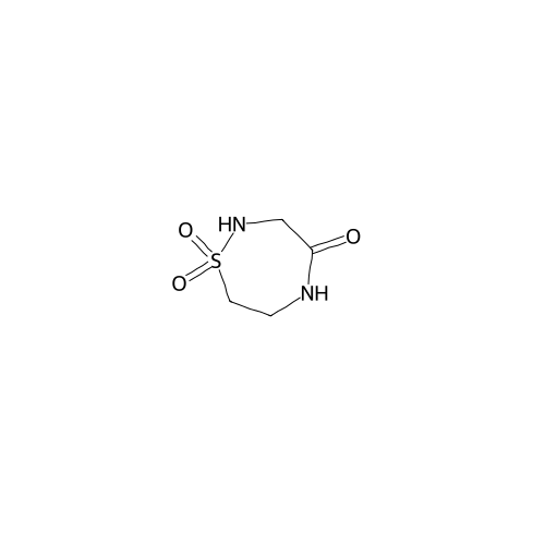 O=C1CNS(=O)(=O)CCN1